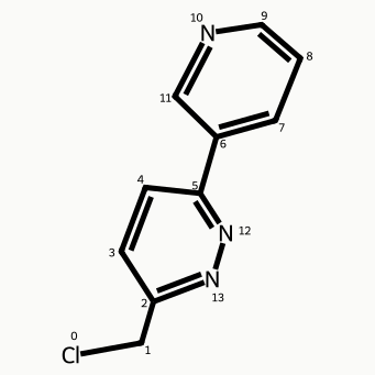 ClCc1ccc(-c2cccnc2)nn1